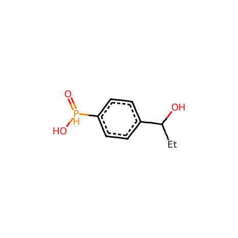 CCC(O)c1ccc([PH](=O)O)cc1